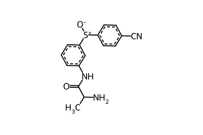 CC(N)C(=O)Nc1cccc([S+]([O-])c2ccc(C#N)cc2)c1